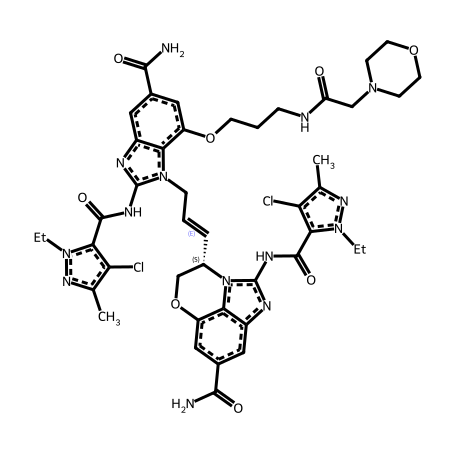 CCn1nc(C)c(Cl)c1C(=O)Nc1nc2cc(C(N)=O)cc(OCCCNC(=O)CN3CCOCC3)c2n1C/C=C/[C@H]1COc2cc(C(N)=O)cc3nc(NC(=O)c4c(Cl)c(C)nn4CC)n1c23